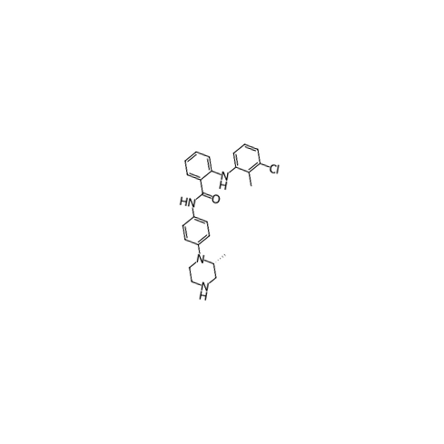 Cc1c(Cl)cccc1Nc1ccccc1C(=O)Nc1ccc(N2CCNC[C@H]2C)cc1